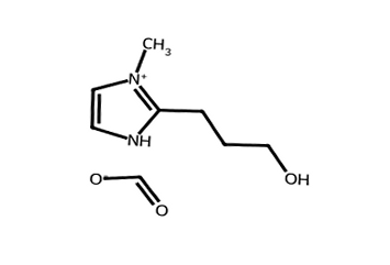 C[n+]1cc[nH]c1CCCO.O=C[O-]